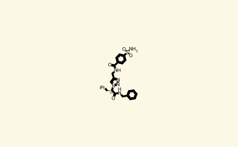 CC(C)C[C@@H](C(=O)NCc1ccccc1)n1cc(CNC(=O)c2ccc(S(N)(=O)=O)cc2)nn1